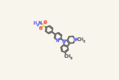 Cc1ccc2c(c1)c1c(n2-c2ccc(-c3ccc(S(N)(=O)=O)cc3)cn2)CCN(C)C1